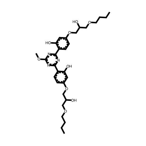 CCCCOCC(O)COc1ccc(-c2nc(OC)nc(-c3ccc(OCC(O)COCCCC)cc3O)n2)c(O)c1